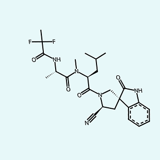 CC(C)C[C@@H](C(=O)N1C[C@]2(C[C@H]1C#N)C(=O)Nc1ccccc12)N(C)C(=O)[C@H](C)NC(=O)C(C)(F)F